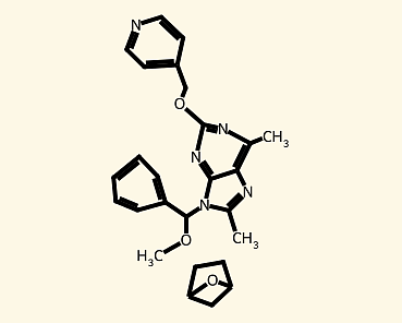 C1CC2CC1O2.COC(c1ccccc1)n1c(C)nc2c(C)nc(OCc3ccncc3)nc21